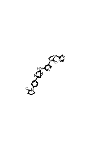 O=C1CCCN1c1ccc(-c2cnc(Nc3cncc(N4CCN(Cc5cscn5)C4=O)c3)cn2)cc1